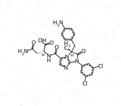 C[C@@]1(Cc2ccc(N)cc2)C(=O)N(c2cc(Cl)cc(Cl)c2)c2ncc(C(=O)N[C@H](CC(N)=O)C(=O)O)n21